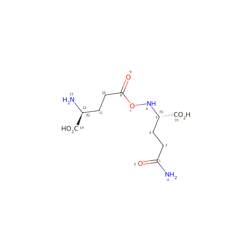 NC(=O)CC[C@H](NOC(=O)CC[C@H](N)C(=O)O)C(=O)O